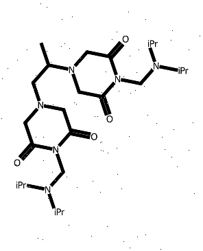 CC(CN1CC(=O)N(CN(C(C)C)C(C)C)C(=O)C1)N1CC(=O)N(CN(C(C)C)C(C)C)C(=O)C1